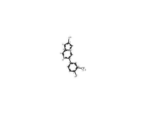 Fc1ccc(-c2cn3cc(I)cc3cn2)cc1C(F)(F)F